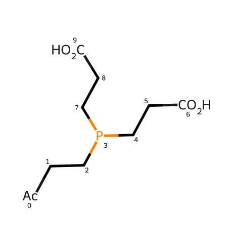 CC(=O)CCP(CCC(=O)O)CCC(=O)O